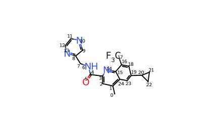 Cc1cc(C(=O)NCc2cnccn2)nc2c(C(F)(F)F)cc(C3CC3)cc12